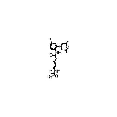 CC1CN(c2cc(F)ccc2NC(=O)CCCCNS(=O)(=O)C(C)C)CC(C)O1